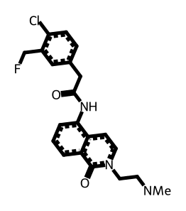 CNCCn1ccc2c(NC(=O)Cc3ccc(Cl)c(CF)c3)cccc2c1=O